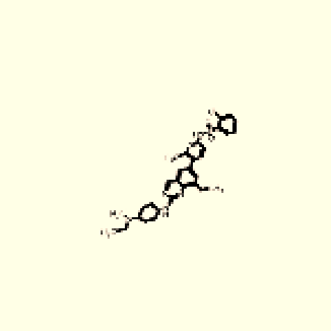 CCc1cc(-c2ccc(NS(=O)(=O)c3ccccc3Cl)nc2C)cc2cnc(N[C@H]3CC[C@H](N(C)CC)CC3)nc12